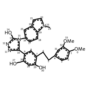 COc1ccc(CCc2cc(-c3nnc(O)n3-c3ccc4c(ccn4C)c3)c(O)cc2O)cc1OC